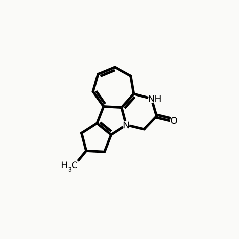 CC1Cc2c(n3c4c2=CC=CCC=4NC(=O)C3)C1